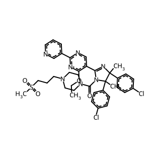 CCOc1nc(-c2cccnc2)ncc1C1=NC(C)(c2ccc(Cl)cc2)C(C)(c2ccc(Cl)cc2)N1C(=O)N1CCN(CCCS(C)(=O)=O)CC1